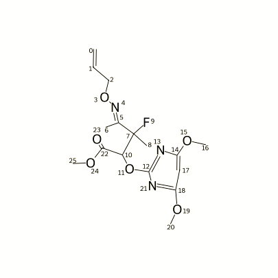 C=CCON=C(C)C(C)(F)C(Oc1nc(OC)cc(OC)n1)C(=O)OC